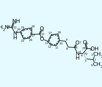 CC(C)C[C@H](NC(=O)CCc1ccc(OC(=O)c2ccc(NC(=N)N)cc2)cc1)C(=O)O